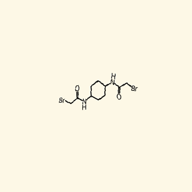 O=C(CBr)NC1CCC(NC(=O)CBr)CC1